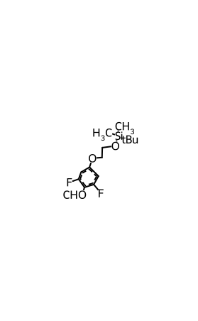 CC(C)(C)[Si](C)(C)OCCOc1cc(F)c(C=O)c(F)c1